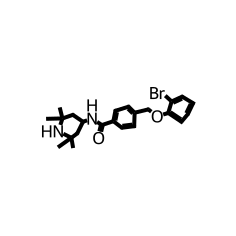 CC1(C)CC(NC(=O)c2ccc(COc3ccccc3Br)cc2)CC(C)(C)N1